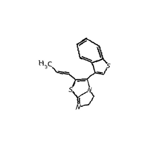 CC=CC1=C(c2csc3ccccc23)N2CCN=C2S1